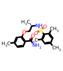 Cc1cc(C)c(S(=O)(=O)N[C@@H](C)COc2cc(C)ccc2C(N)=O)c(C)c1